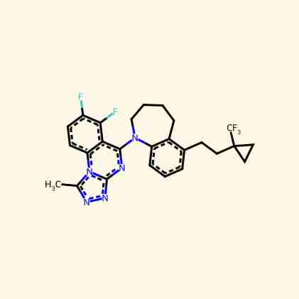 Cc1nnc2nc(N3CCCCc4c(CCC5(C(F)(F)F)CC5)cccc43)c3c(F)c(F)ccc3n12